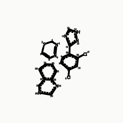 C1=CSCN=N1.Clc1ccc(-c2nc[nH]n2)c(Cl)c1.c1ccc2ncncc2c1